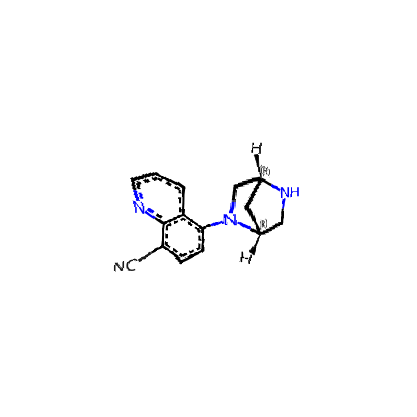 N#Cc1ccc(N2C[C@H]3C[C@@H]2CN3)c2cccnc12